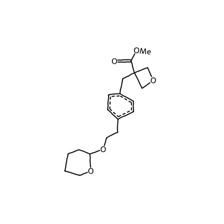 COC(=O)C1(Cc2ccc(CCOC3CCCCO3)cc2)COC1